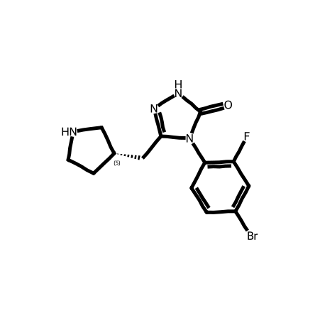 O=c1[nH]nc(C[C@@H]2CCNC2)n1-c1ccc(Br)cc1F